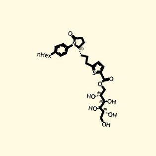 CCCCCCc1ccc(N2C(=O)CC[C@@H]2CCCc2ccc(C(=O)OC[C@@H](O)[C@@H](O)[C@@H](O)[C@H](O)CO)s2)cc1